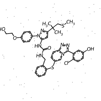 CSCC(C)(C)c1cc(NC(=O)NCc2ccccc2Sc2ccc3nnc(-c4cc(O)ccc4Cl)n3c2)n(-c2ccc(OCCO)cc2)n1